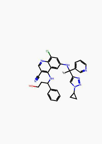 [2H]C(Nc1cc(Cl)c2ncc(C#N)c(NC(CCO)c3ccccc3)c2c1)(c1cccnc1)c1cn(C2CC2)nn1